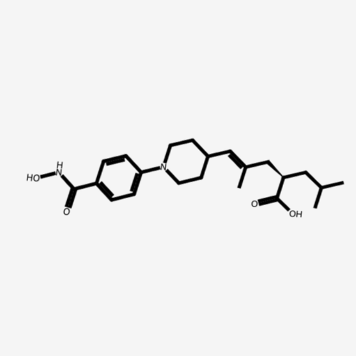 C/C(=C\C1CCN(c2ccc(C(=O)NO)cc2)CC1)C[C@@H](CC(C)C)C(=O)O